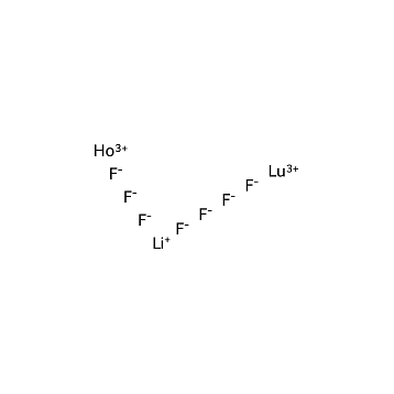 [F-].[F-].[F-].[F-].[F-].[F-].[F-].[Ho+3].[Li+].[Lu+3]